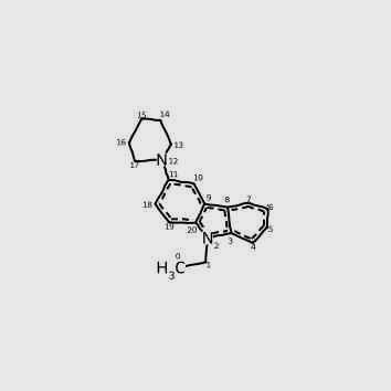 CCn1c2cc[c]cc2c2cc(N3CCCCC3)ccc21